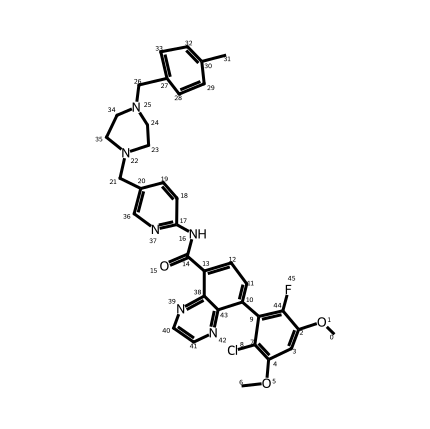 COc1cc(OC)c(Cl)c(-c2ccc(C(=O)Nc3ccc(CN4CCN(Cc5ccc(C)cc5)CC4)cn3)c3nccnc23)c1F